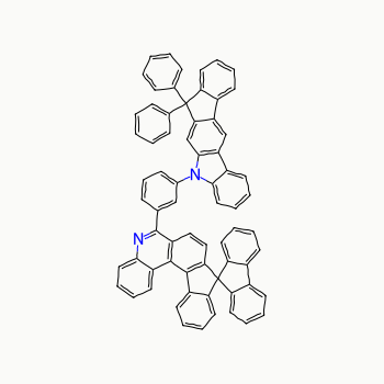 c1ccc(C2(c3ccccc3)c3ccccc3-c3cc4c5ccccc5n(-c5cccc(-c6nc7ccccc7c7c8c(ccc67)C6(c7ccccc7-c7ccccc76)c6ccccc6-8)c5)c4cc32)cc1